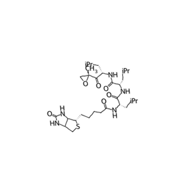 CC(C)C[C@H](NC(=O)CCCC[C@@H]1SCC2NC(=O)NC21)C(=O)N[C@@H](CC(C)C)C(=O)N[C@@H](CC(C)C)C(=O)[C@@]1(C)CO1